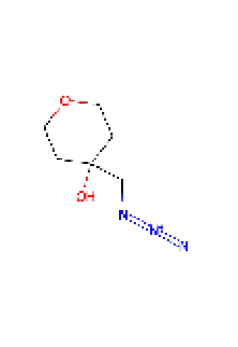 [N-]=[N+]=NCC1(O)CCOCC1